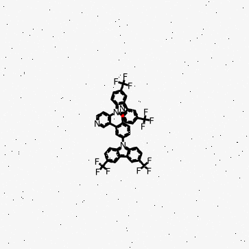 N#Cc1ccc(-n2c3ccc(C(F)(F)F)cc3c3cc(C(F)(F)F)ccc32)cc1-c1cnccc1-n1c2ccc(C(F)(F)F)cc2c2cc(C(F)(F)F)ccc21